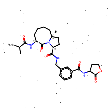 CNC(C)C(=O)N[C@H]1CCCC[C@H]2CC[C@@H](C(=O)NCc3cccc(C(=O)NC4CCOC4=O)c3)N2C1=O